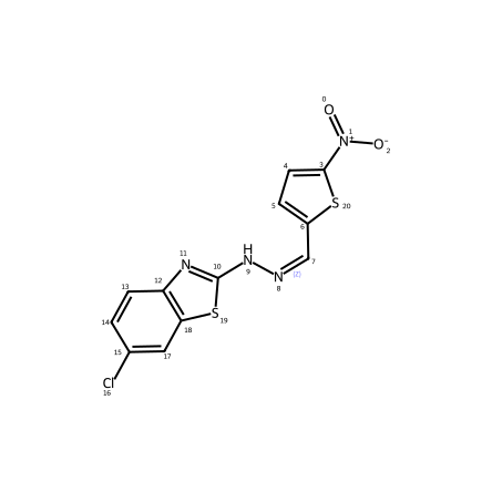 O=[N+]([O-])c1ccc(/C=N\Nc2nc3ccc(Cl)cc3s2)s1